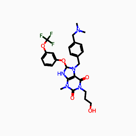 CN(C)Cc1ccc(CN2c3c(n(C)c(=O)n(CCCO)c3=O)NC2Oc2cccc(OC(F)(F)F)c2)cc1